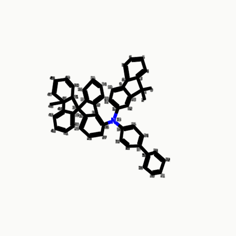 CC1(C)c2ccccc2-c2ccc(N(c3ccc(-c4ccccc4)cc3)c3cccc4c3-c3ccccc3C43c4ccccc4C4(C)C=CC=CC43)cc21